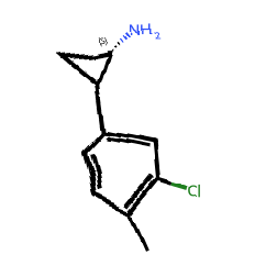 Cc1ccc(C2C[C@@H]2N)cc1Cl